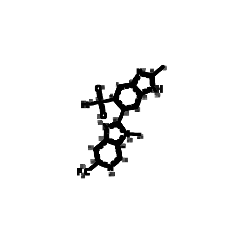 CCS(=O)(=O)c1cc2nc(C)[nH]c2cc1-c1nc2cc(C(F)(F)F)ncc2n1C